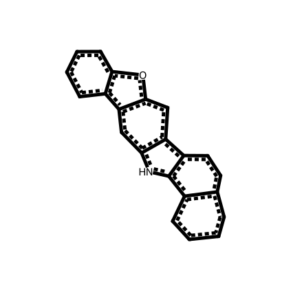 c1ccc2c(c1)ccc1c3cc4oc5ccccc5c4cc3[nH]c21